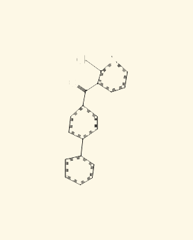 O=C(c1ccc(-c2ccccc2)cc1)c1cccnc1Cl